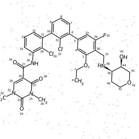 CCOc1cc(-c2cccc(-c3cccc(NC(=O)c4cn(C)c(=O)n(C)c4=O)c3Cl)c2Cl)cc(F)c1CN[C@@H]1CCOC[C@@H]1O